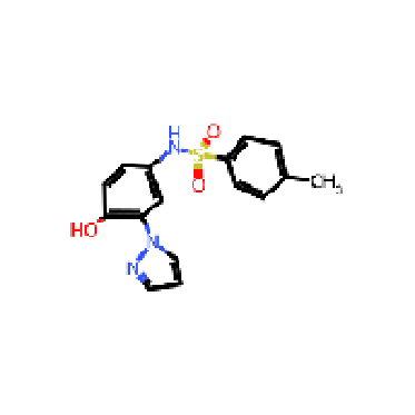 Cc1ccc(S(=O)(=O)Nc2ccc(O)c(-n3cccn3)c2)cc1